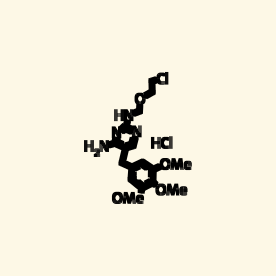 COc1cc(Cc2cnc(NCOCCCl)nc2N)cc(OC)c1OC.Cl